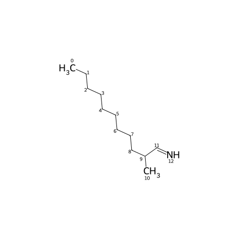 CCCCCCCCCC(C)C=N